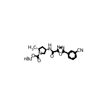 CCCCOC(=O)N1C[C@H](NC(=O)c2nnc(-c3cccc(C#N)c3)o2)C[C@H]1C